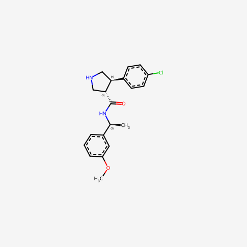 COc1cccc([C@H](C)NC(=O)[C@@H]2CNC[C@H]2c2ccc(Cl)cc2)c1